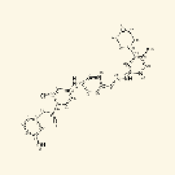 O=C(Nc1cccc(O)c1)c1ccc(Nc2ccc(/C=N/Nc3ncc(F)c(N4CCOCC4)n3)nc2)cc1Cl